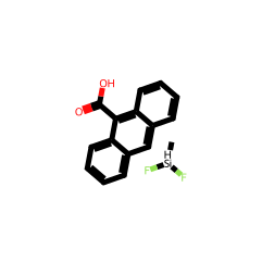 C[SiH](F)F.O=C(O)c1c2ccccc2cc2ccccc12